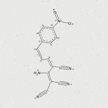 N#CC(C#N)=C(N)/C(C#N)=C\C=C/c1ccc([N+](=O)[O-])cc1